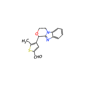 Cc1sc(C=O)cc1C1OCCn2c1nc1ccccc12